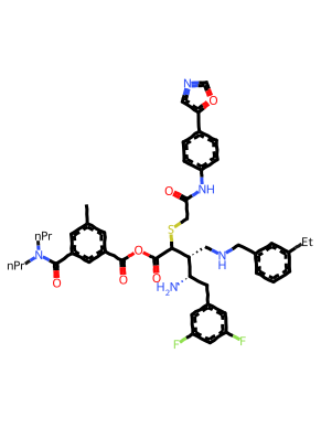 CCCN(CCC)C(=O)c1cc(C)cc(C(=O)OC(=O)C(SCC(=O)Nc2ccc(-c3cnco3)cc2)[C@H](CNCc2cccc(CC)c2)[C@@H](N)Cc2cc(F)cc(F)c2)c1